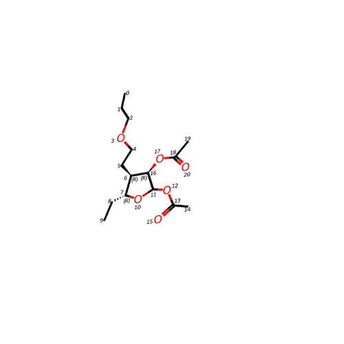 CCCOCC[C@@H]1[C@@H](CC)OC(OC(C)=O)[C@@H]1OC(C)=O